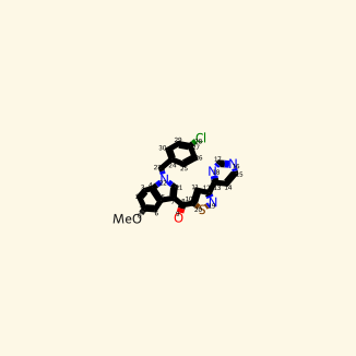 COc1ccc2c(c1)c(C(=O)c1cc(-c3ccncn3)ns1)cn2Cc1ccc(Cl)cc1